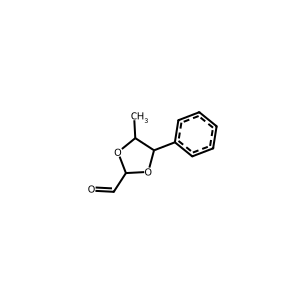 CC1OC(C=O)OC1c1ccccc1